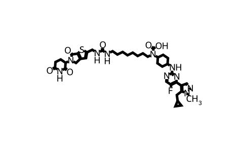 Cn1ncc(-c2nc(NC3CCC(N(CCCCCCCCNC(=O)NCc4cc5c(s4)C(=O)N(C4CCC(=O)NC4=O)C5)C(=O)O)CC3)ncc2F)c1CC1CC1